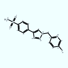 NS(=O)(=O)c1ccc(-c2cn(Cc3ccc(F)cn3)nn2)cc1